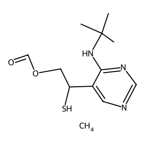 C.CC(C)(C)Nc1ncncc1C(S)COC=O